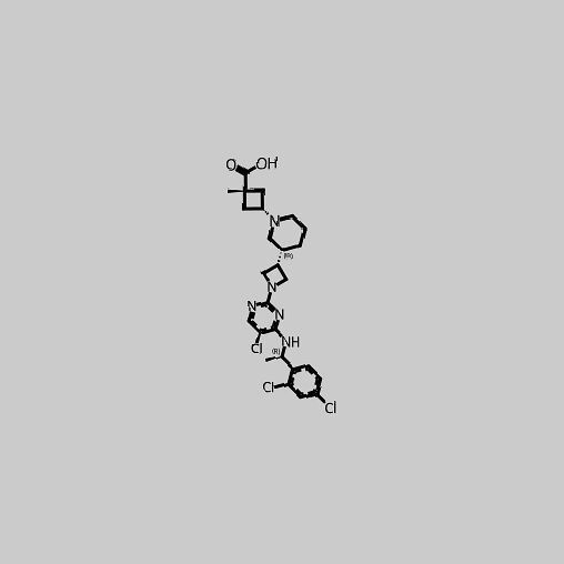 C[C@@H](Nc1nc(N2CC([C@H]3CCCN([C@H]4C[C@@](C)(C(=O)O)C4)C3)C2)ncc1Cl)c1ccc(Cl)cc1Cl